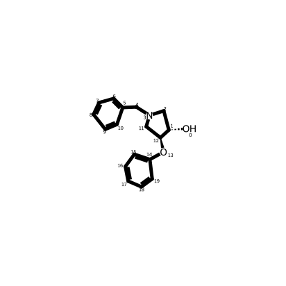 O[C@H]1CN(Cc2ccccc2)C[C@@H]1Oc1ccccc1